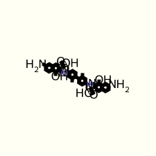 Cc1cc(/N=N/c2c(S(=O)(=O)O)cc3cc(N)ccc3c2O)ccc1-c1ccc(/N=N/c2c(S(=O)(=O)O)cc3ccc(N)cc3c2O)cc1C